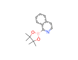 CC1(C)OB(c2nccc3ccccc23)OC1(C)C